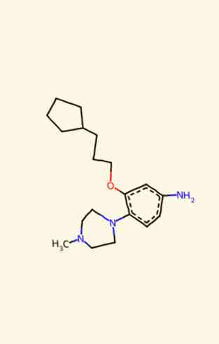 CN1CCN(c2ccc(N)cc2OCCCC2CCCC2)CC1